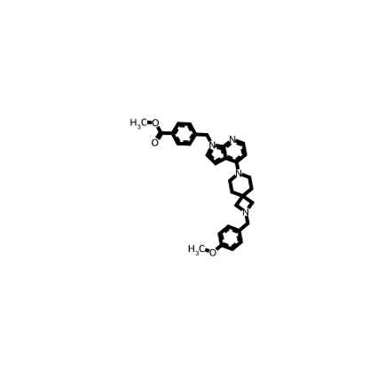 COC(=O)c1ccc(Cn2ccc3c(N4CCC5(CC4)CN(Cc4ccc(OC)cc4)C5)ccnc32)cc1